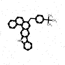 CC(C)(C)c1ccc(Cc2cc3cc4c(cc3c3c2ccc2ccccc23)[nH]c2ccccc24)cc1